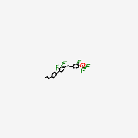 CCCc1ccc(-c2ccc(CCc3ccc(OC(F)F)c(F)c3)c(F)c2F)cc1